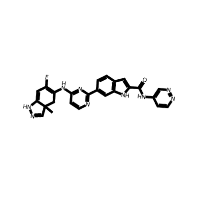 CC12C=NNC1=CC(F)=C(Nc1ccnc(-c3ccc4cc(C(=O)Nc5ccnnc5)[nH]c4c3)n1)C2